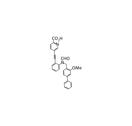 COc1cc(-c2ccccc2)ccc1CN(C=O)c1ccccc1C#Cc1ccc(C(=O)O)nc1